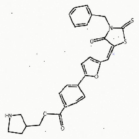 O=C(OCC1CCNC1)c1ccc(-c2ccc(/C=C3/SC(=S)N(Cc4ccccc4)C3=O)o2)cc1